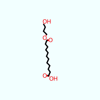 O=C(O)CCCCCCCCCCC(=O)OCCCCO